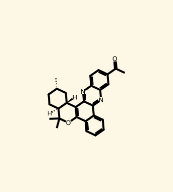 CC(=O)c1ccc2nc3c4c(c5ccccc5c3nc2c1)OC(C)(C)[C@H]1CC[C@H](C)C[C@H]41